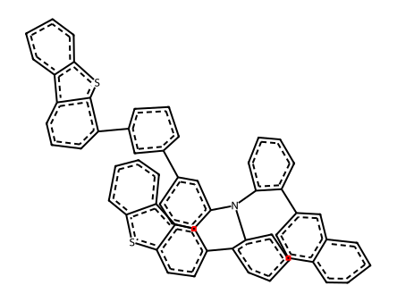 c1cc(-c2cccc(N(c3ccccc3-c3ccc4ccccc4c3)c3ccccc3-c3ccc4sc5ccccc5c4c3)c2)cc(-c2cccc3c2sc2ccccc23)c1